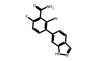 CC(C)c1c(-c2ccc3cn[nH]c3c2)ccc(F)c1C(N)=O